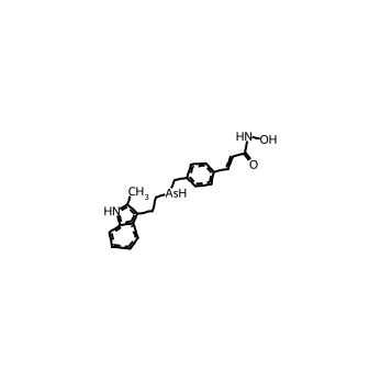 Cc1[nH]c2ccccc2c1CC[AsH]Cc1ccc(/C=C/C(=O)NO)cc1